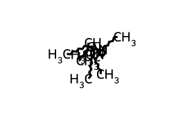 CCCCCCCC(C)(CCCCC)OP(=O)(/N=C1\N(C)CCN1CCCCCC)OC(C)(CCCCCC)CCCCCCC